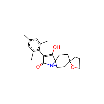 Cc1cc(C)c(C2=C(O)C3(CCC4(CCCO4)CC3)NC2=O)c(C)c1